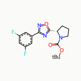 CC(C)(C)OC(=O)N1CCC[C@H]1c1nc(-c2cc(F)cc(F)c2)no1